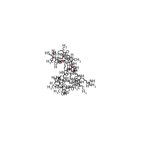 CC[C@H](C)[C@H](NC(=O)[C@H](CS)NC(=O)[C@@H](NC(=O)[C@@H](N)CS)[C@@H](C)O)C(=O)NCC(=O)N[C@@H](C)C(=O)NCC(=O)N[C@@H](CCCNC(=N)N)C(=O)NCC(=O)N[C@@H](CCCNC(=N)N)C(=O)N[C@H](C(=O)N[C@@H](CO)C(=O)N[C@@H](CS)C(=O)N[C@H](C(=O)N[C@H](C(=O)N[C@@H](C)C(=O)N[C@@H](CC(N)=O)C(=O)N[C@@H](CCCNC(=N)N)C(=O)N[C@@H](CS)C(=O)O)[C@@H](C)CC)[C@@H](C)O)[C@@H](C)CC